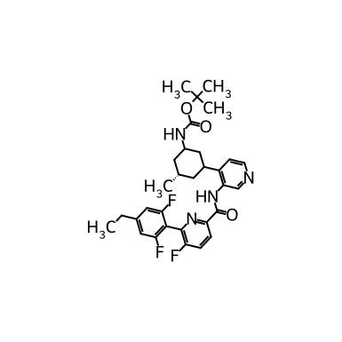 CCc1cc(F)c(-c2nc(C(=O)Nc3cnccc3C3CC(NC(=O)OC(C)(C)C)C[C@@H](C)C3)ccc2F)c(F)c1